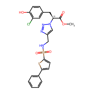 COC(=O)[C@H](Cc1ccc(O)c(Cl)c1)n1cc(CNS(=O)(=O)c2ccc(-c3ccccc3)s2)nn1